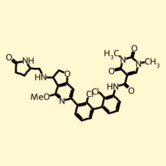 COc1nc(-c2cccc(-c3cccc(NC(=O)c4cn(C)c(=O)n(C)c4=O)c3Cl)c2Cl)cc2c1C(NCC1CCC(=O)N1)CO2